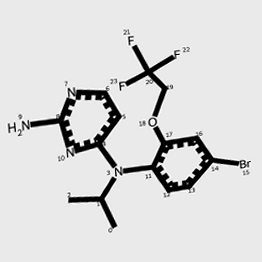 CC(C)N(c1ccnc(N)n1)c1ccc(Br)cc1OCC(F)(F)F